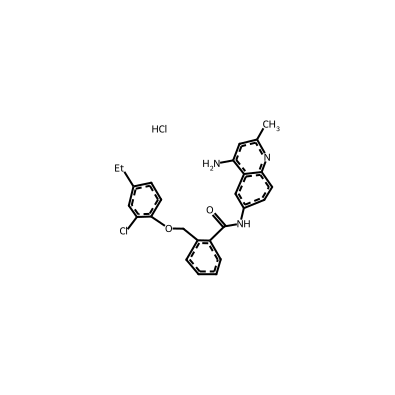 CCc1ccc(OCc2ccccc2C(=O)Nc2ccc3nc(C)cc(N)c3c2)c(Cl)c1.Cl